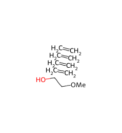 C=C.C=C.C=C.C=C.COCCO